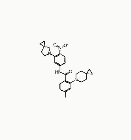 Cc1ccc(C(=O)Nc2ccc([N+](=O)[O-])c(N3CCC4(CC4)C3)c2)c(N2CCC3(CC2)CC3)c1